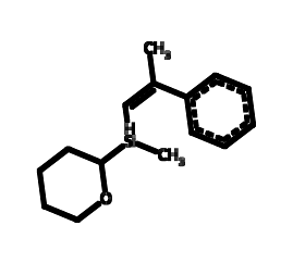 CC(=C[SiH](C)C1CCCCO1)c1ccccc1